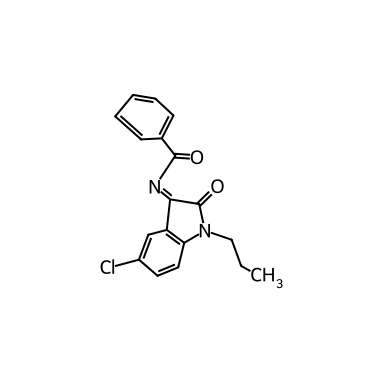 CCCN1C(=O)/C(=N\C(=O)c2ccccc2)c2cc(Cl)ccc21